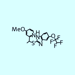 COc1ccnc(C(C)Sc2nc3cc(OC(F)(F)C(F)F)ccc3[nH]2)c1